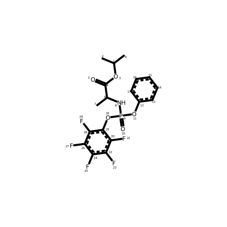 CC(C)OC(=O)C(C)NP(=O)(Oc1ccccc1)Oc1c(F)c(F)c(F)c(F)c1F